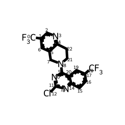 FC(F)(F)c1cnc2c(c1)CN(c1nc(Cl)nc3ccc(C(F)(F)F)cc13)CC2